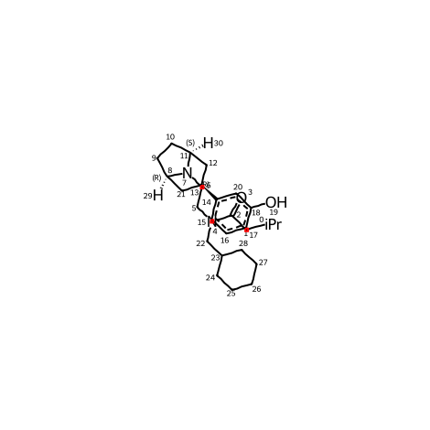 CC(C)CC(=O)N(CCN1[C@@H]2CC[C@H]1C[C@@H](c1cccc(O)c1)C2)CC1CCCCC1